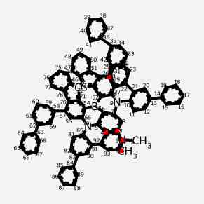 CN(C)c1cc2c3c(c1)N(c1ccc(-c4ccccc4)cc1-c1ccccc1)c1cc(-c4cccc(-c5ccccc5)c4)c4c(sc5ccccc54)c1B3c1c(cc(-c3cccc(-c4ccccc4)c3)c3c1oc1ccccc13)N2c1ccc(-c2ccccc2)cc1-c1ccccc1